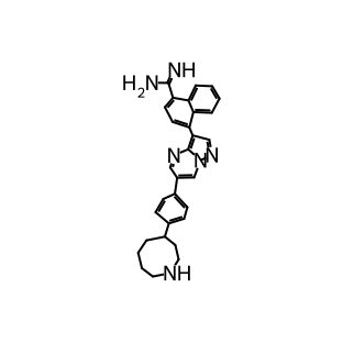 N=C(N)c1ccc(-c2cnn3cc(-c4ccc(C5CCCCNCC5)cc4)cnc23)c2ccccc12